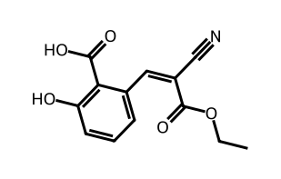 CCOC(=O)C(C#N)=Cc1cccc(O)c1C(=O)O